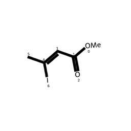 COC(=O)C=C(C)I